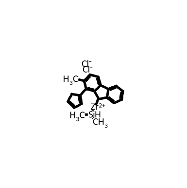 Cc1ccc2c(c1C1=CC=CC1)[CH]([Zr+2][SiH](C)C)c1ccccc1-2.[Cl-].[Cl-]